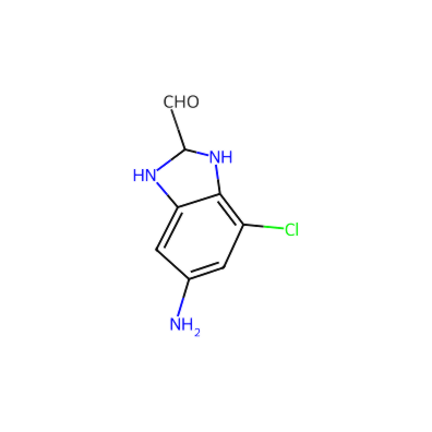 Nc1cc(Cl)c2c(c1)NC(C=O)N2